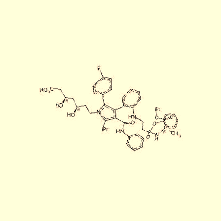 CC(C)OC(=O)[C@H](C)NP(=O)(CCNc1ccccc1-c1c(C(=O)Nc2ccccc2)c(C(C)C)n(CC[C@@H](O)C[C@@H](O)CC(=O)O)c1-c1ccc(F)cc1)Oc1ccccc1